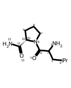 CC(C)CC(N)C(=O)N1CCC[C@H]1C(N)=O